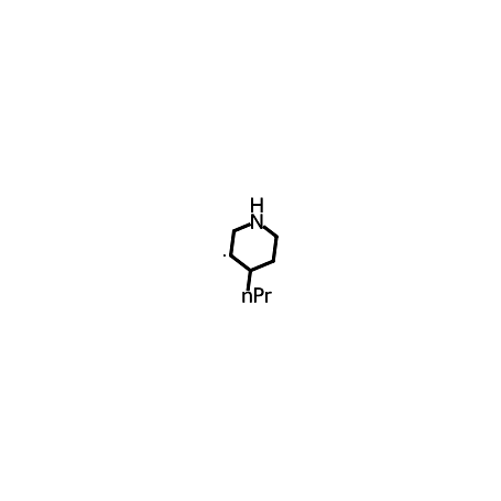 CCCC1[CH]CNCC1